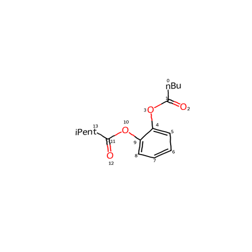 CCCCC(=O)Oc1ccccc1OC(=O)C(C)CCC